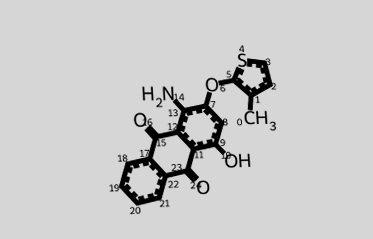 Cc1ccsc1Oc1cc(O)c2c(c1N)C(=O)c1ccccc1C2=O